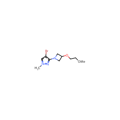 COCCOC1CN(c2nn(C)cc2Br)C1